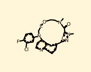 CN1CCOCCN(c2ccc(F)c(Cl)c2)c2ccnc3ccc(cc23)-c2cc(n(C)n2)C1=O